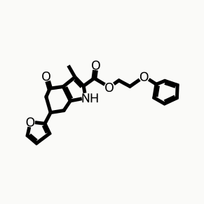 Cc1c(C(=O)OCCOc2ccccc2)[nH]c2c1C(=O)CC(c1ccco1)C2